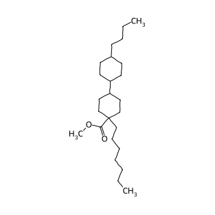 CCCCCCCC1(C(=O)OC)CCC(C2CCC(CCCC)CC2)CC1